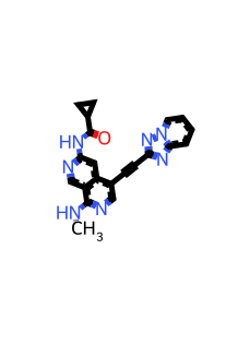 CNc1ncc(C#Cc2nc3ccccn3n2)c2cc(NC(=O)C3CC3)ncc12